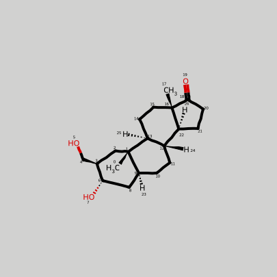 C[C@]12C[C@H](CO)[C@@H](O)C[C@@H]1CC[C@@H]1[C@@H]2CC[C@]2(C)C(=O)CC[C@@H]12